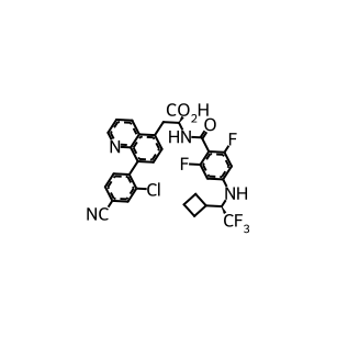 N#Cc1ccc(-c2ccc(C[C@H](NC(=O)c3c(F)cc(N[C@H](C4CCC4)C(F)(F)F)cc3F)C(=O)O)c3cccnc23)c(Cl)c1